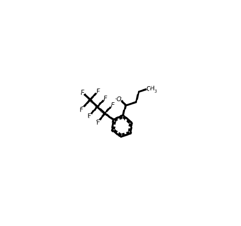 CCCC([O])c1ccccc1C(F)(F)C(F)(F)C(F)(F)F